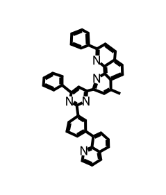 Cc1cc(-c2cc(-c3ccccc3)nc(-c3cccc(-c4cccc5cccnc45)c3)n2)nc2c1ccc1ccc(-c3ccccc3)nc12